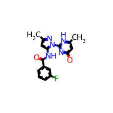 Cc1cc(NC(=O)c2cccc(F)c2)n(-c2nc(=O)cc(C)[nH]2)n1